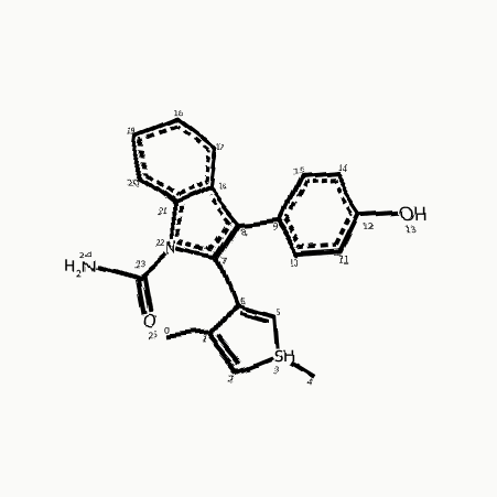 CC1=C[SH](C)C=C1c1c(-c2ccc(O)cc2)c2ccccc2n1C(N)=O